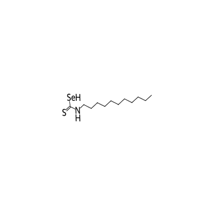 CCCCCCCCCCCNC(=S)[SeH]